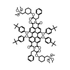 CO[Si](CC1CCCC(OC(=O)C(Cc2ccccc2)N2C(=O)c3cc(Oc4ccc(C(C)(C)C)cc4)c4c5c(Oc6ccc(C(C)(C)C)cc6)cc6c7c(cc(Oc8ccc(C(C)(C)C)cc8)c(c8c(Oc9ccc(C(C)(C)C)cc9)cc(c3c48)C2=O)c75)C(=O)N(C(Cc2ccccc2)C(=O)OC2CCCC(C[Si](OC)(OC)OC)C2)C6=O)C1)(OC)OC